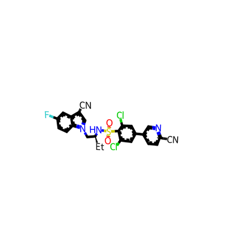 CC[C@@H](Cn1cc(C#N)c2cc(F)ccc21)NS(=O)(=O)c1c(Cl)cc(-c2ccc(C#N)nc2)cc1Cl